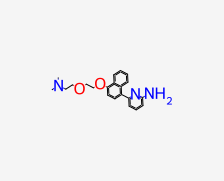 CN(C)CCOCCOc1ccc(-c2cccc(N)n2)c2ccccc12